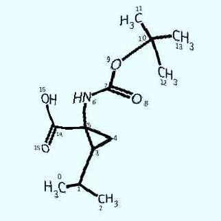 CC(C)C1CC1(NC(=O)OC(C)(C)C)C(=O)O